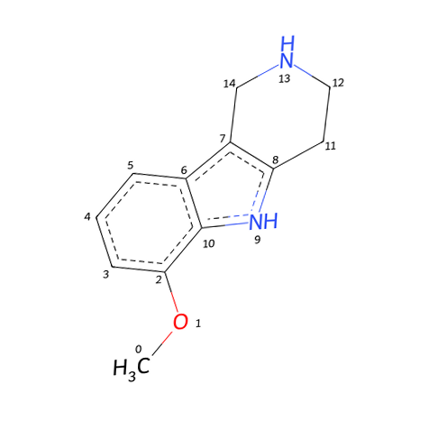 COc1cccc2c3c([nH]c12)CCNC3